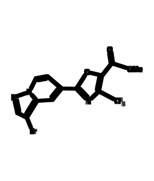 COC(=O)c1oc(-c2ccn3ncc(Br)c3c2)nc1C(F)(F)F